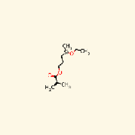 C=C(C)C(=O)OCCC[Si](C)OCC